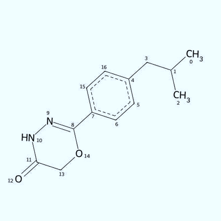 CC(C)Cc1ccc(C2=NNC(=O)CO2)cc1